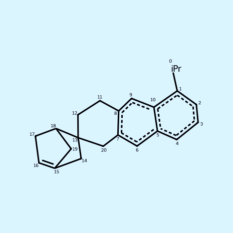 CC(C)c1cccc2cc3c(cc12)CCC1(CC2=CCC1C2)C3